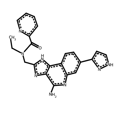 CCN(Cc1nc2c(N)nc3cc(-c4cc[nH]n4)ccc3c2[nH]1)C(=O)c1ccccn1